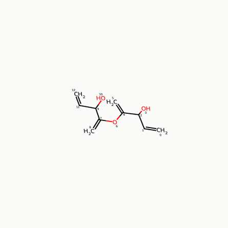 C=CC(O)C(=C)OC(=C)C(O)C=C